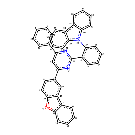 c1ccc(-c2cc(-c3ccc4oc5ccccc5c4c3)nc(-c3ccccc3-n3c4ccccc4c4ccccc43)n2)cc1